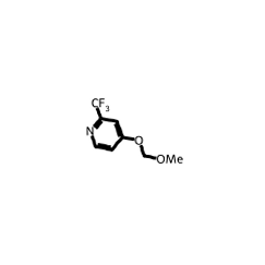 COCOc1ccnc(C(F)(F)F)c1